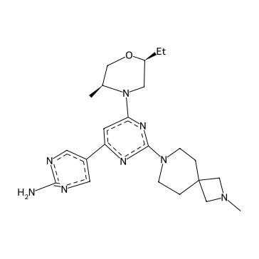 CC[C@H]1CN(c2cc(-c3cnc(N)nc3)nc(N3CCC4(CC3)CN(C)C4)n2)[C@@H](C)CO1